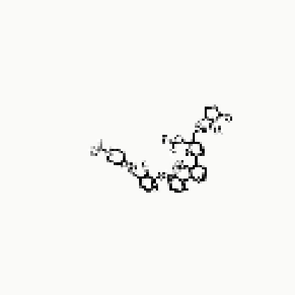 CC(=O)N1CCC(NCc2ccnc(Nc3cccc(-c4nccc(-c5ccc(CNC[C@@H]6CCC(=O)N6)c(OC(F)F)n5)c4Cl)c3Cl)c2F)CC1